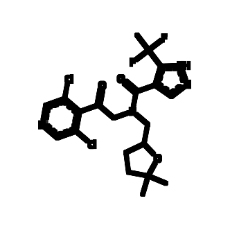 CC1(C)CCC(CN(CC(=O)c2c(Cl)cncc2Cl)C(=O)c2cn[nH]c2C(C)(F)F)O1